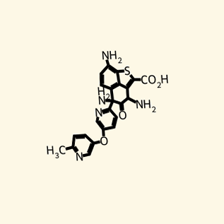 Cc1ccc(Oc2ccc(C3(N)C(=O)C(N)c4c(C(=O)O)sc5c(N)ccc3c45)nc2)cn1